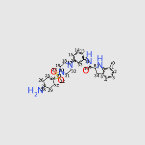 Cc1cccc2c1NC(C(=O)Nc1cccc(N3CCN(S(=O)(=O)C4CCC(N)CC4)CC3)c1)C2